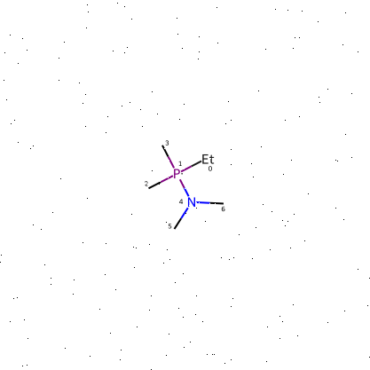 CC[P](C)(C)N(C)C